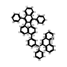 c1ccc(-c2c3c(c(-c4ccccc4)c4ccccc24)-c2ccc(-c4cccc(N(c5ccccc5)c5cc6cccnc6c6ccccc56)c4)c4cccc-3c24)cc1